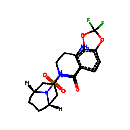 NC1CCN(S(=O)(=O)N2[C@@H]3CC[C@H]2CC(NC(=O)c2ccc4c(c2)OC(F)(F)O4)C3)CC1